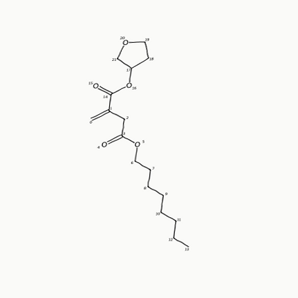 C=C(CC(=O)OCCCCCCCC)C(=O)OC1CCOC1